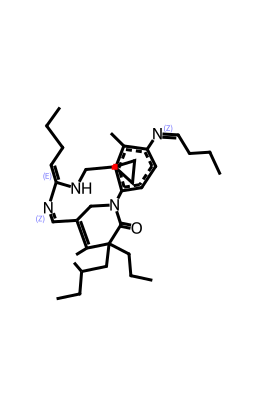 CCC/C=N\c1ccc(N2CC(/C=N\C(=C\CCC)NCC3CC3)=C(C)C(CCC)(CC(C)CC)C2=O)cc1C